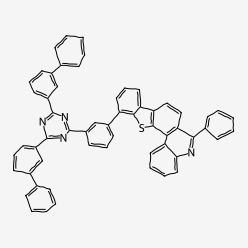 c1ccc(-c2cccc(-c3nc(-c4cccc(-c5ccccc5)c4)nc(-c4cccc(-c5cccc6c5sc5c6ccc6c(-c7ccccc7)nc7ccccc7c65)c4)n3)c2)cc1